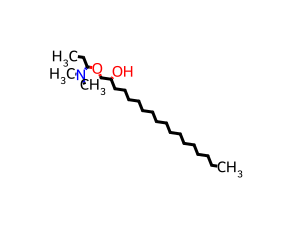 CCCCCCCCCCCCCCCCC(O)COC(CC)N(C)C